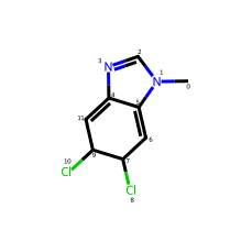 Cn1cnc2c1=CC(Cl)C(Cl)C=2